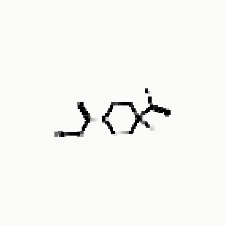 CC(C)(C)OC(=O)N1CCC(F)(C(=O)Cl)CC1